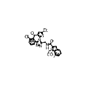 CCOC(=O)Cn1c(C(=O)NCc2nnc(Br)n2-c2sc(CC)cc2C(=O)c2ccccc2Cl)cc2ccccc21